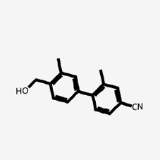 Cc1cc(-c2ccc(C#N)cc2C)ccc1CO